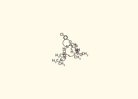 CCO[C@]1(CN2CCN(C(C)C)CC2)/C=C/C[C@H](C)[C@@H](CCOC)S(=O)(=O)NC(=O)/C(C)=C/C2=C(\C)OCc3ccc(Cl)cc3CCCCN2C[C@@H]2CC[C@H]21